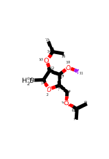 BC1OC(COC(C)C)C(OI)C1OC(C)C